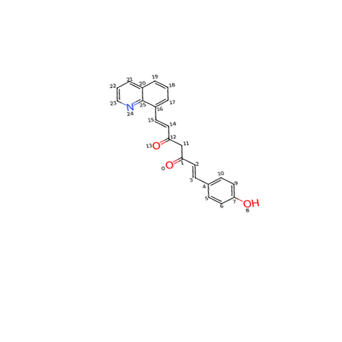 O=C(C=Cc1ccc(O)cc1)CC(=O)C=Cc1cccc2cccnc12